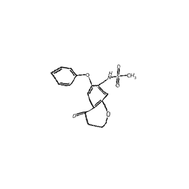 CS(=O)(=O)Nc1cc2c(cc1Oc1ccccc1)C(=O)CCO2